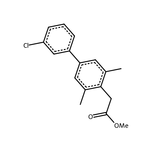 COC(=O)Cc1c(C)cc(-c2cccc(Cl)c2)cc1C